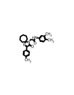 Cc1ccc(C2=NC3(CCCCCC3)N(CC(=O)Nc3ccc(C)c(C)c3)C2=O)cc1